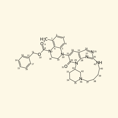 Cc1cccc2c1N(C(=O)OCc1ccccc1)CCN2c1cc2cnc3nc2n(c1=O)C1CCCN(CCCCN3)C1